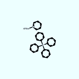 CCCCCC[n+]1ccccc1.c1ccc([B-](c2ccccc2)(c2ccccc2)c2ccccc2)cc1